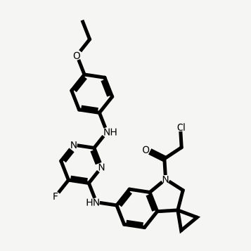 CCOc1ccc(Nc2ncc(F)c(Nc3ccc4c(c3)N(C(=O)CCl)CC43CC3)n2)cc1